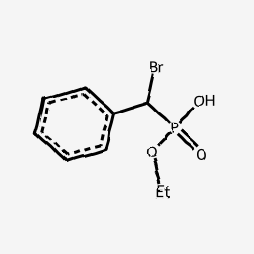 CCOP(=O)(O)C(Br)c1ccccc1